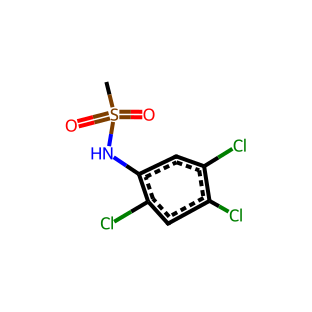 CS(=O)(=O)Nc1cc(Cl)c(Cl)cc1Cl